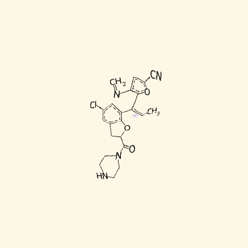 C=Nc1cc(C#N)oc1/C(=C\C)c1cc(Cl)cc2c1OC(C(=O)N1CCNCC1)C2